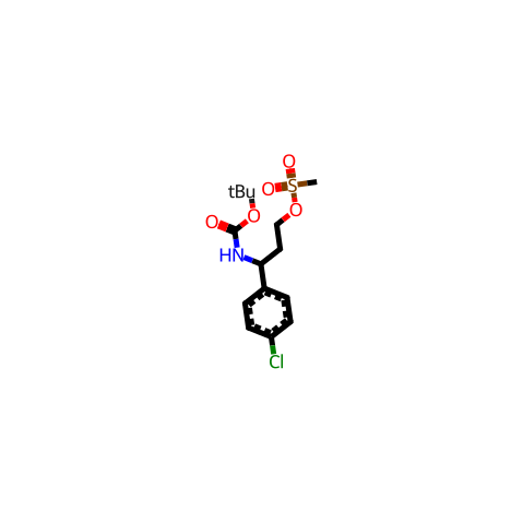 CC(C)(C)OC(=O)NC(CCOS(C)(=O)=O)c1ccc(Cl)cc1